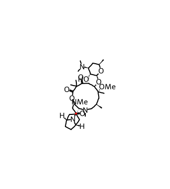 CNCC(=O)N1[C@@H]2CC[C@H]1CC([C@@H]1COC(=O)C(C)(C)C(=O)[C@H](C)[C@@H](O[C@@H]3O[C@H](C)C[C@H](N(C)C)[C@H]3O)[C@](C)(OC)C[C@@H](C)CN1C)C2